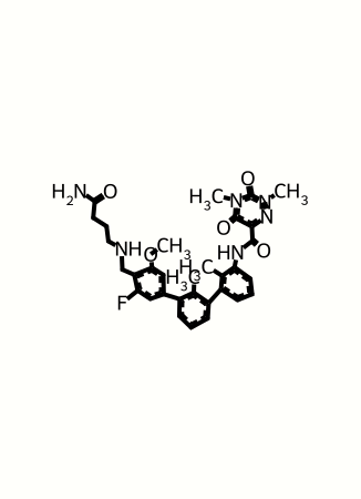 COc1cc(-c2cccc(-c3cccc(NC(=O)c4nn(C)c(=O)n(C)c4=O)c3C)c2C)cc(F)c1CNCCCC(N)=O